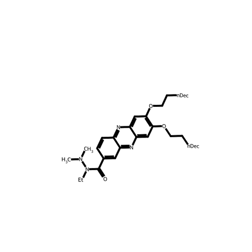 CCCCCCCCCCCCOc1cc2nc3ccc(C(=O)N(CC)N(C)C)cc3nc2cc1OCCCCCCCCCCCC